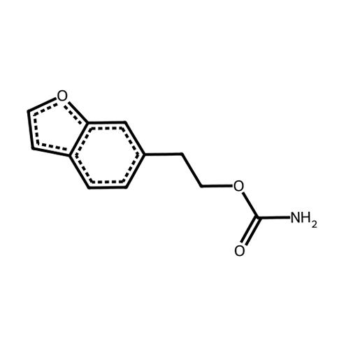 NC(=O)OCCc1ccc2ccoc2c1